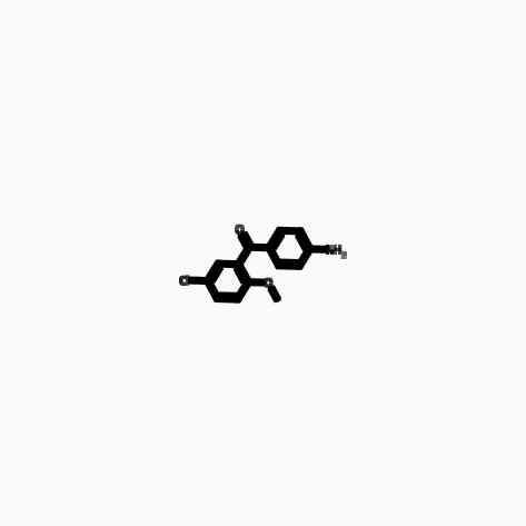 COc1ccc(Cl)cc1C(=O)c1ccc(N)cc1